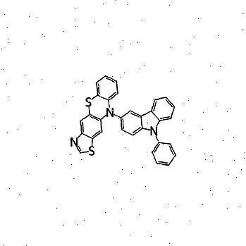 c1ccc(-n2c3ccccc3c3cc(N4c5ccccc5Sc5cc6ncsc6cc54)ccc32)cc1